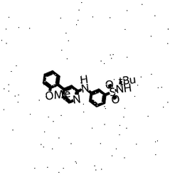 COc1ccccc1-c1ccnc(Nc2cccc(S(=O)(=O)NC(C)(C)C)c2)c1